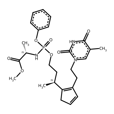 COC(=O)[C@H](C)NP(=O)(OCC[C@H](C)C1=C(CCn2cc(C)c(=O)[nH]c2=O)C=CC1)Oc1ccccc1